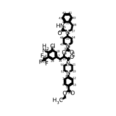 CCOC(=O)c1ccc(N2CCN(C(=O)C(Cc3cc(Cl)c(N)c(C(F)(F)F)c3)OC(=O)N3CCC(N4CCc5ccccc5NC4=O)CC3)CC2)cc1